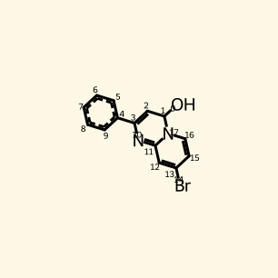 OC1C=C(c2ccccc2)N=C2C=C(Br)C=CN21